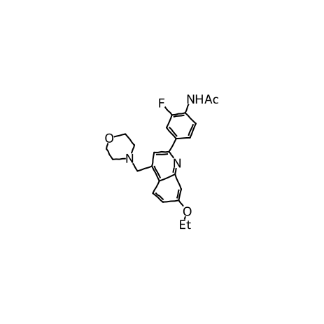 CCOc1ccc2c(CN3CCOCC3)cc(-c3ccc(NC(C)=O)c(F)c3)nc2c1